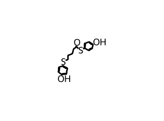 O=C(CCCCSc1ccc(O)cc1)Sc1ccc(O)cc1